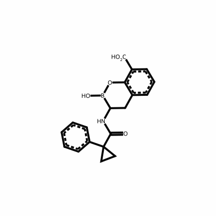 O=C(O)c1cccc2c1OB(O)C(NC(=O)C1(c3ccccc3)CC1)C2